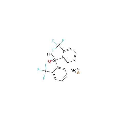 C[Si]([O-])(c1ccccc1C(F)(F)F)c1ccccc1C(F)(F)F.[Br-].[Mg+2]